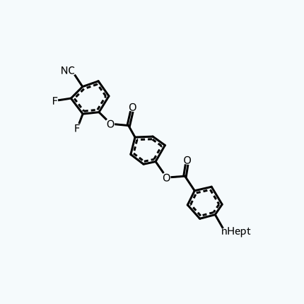 CCCCCCCc1ccc(C(=O)Oc2ccc(C(=O)Oc3ccc(C#N)c(F)c3F)cc2)cc1